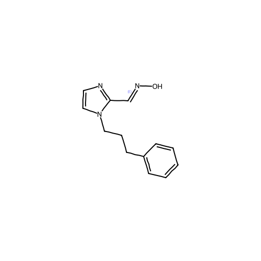 O/N=C/c1nccn1CCCc1ccccc1